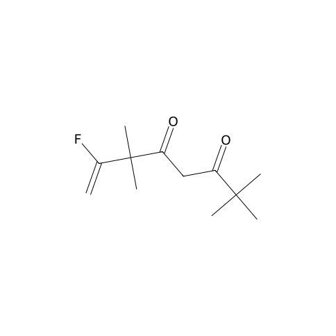 C=C(F)C(C)(C)C(=O)CC(=O)C(C)(C)C